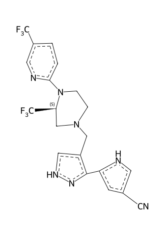 N#Cc1c[nH]c(-c2n[nH]cc2CN2CCN(c3ccc(C(F)(F)F)cn3)[C@H](C(F)(F)F)C2)c1